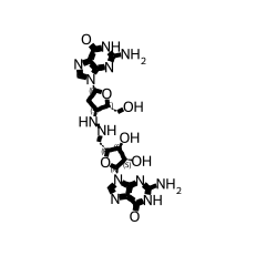 Nc1nc2c(ncn2[C@@H]2O[C@H](CNN[C@H]3C[C@H](n4cnc5c(=O)[nH]c(N)nc54)O[C@@H]3CO)[C@@H](O)[C@@H]2O)c(=O)[nH]1